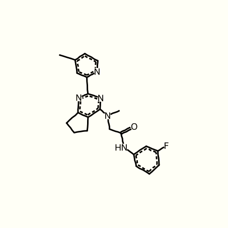 Cc1ccnc(-c2nc3c(c(N(C)CC(=O)Nc4cccc(F)c4)n2)CCC3)c1